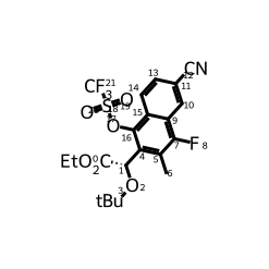 CCOC(=O)[C@@H](OC(C)(C)C)c1c(C)c(F)c2cc(C#N)ccc2c1OS(=O)(=O)C(F)(F)F